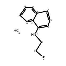 BrCCNc1cccc2ccccc12.Cl